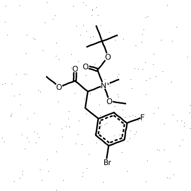 COC(=O)C(Cc1cc(F)cc(Br)c1)[N+](C)(OC)C(=O)OC(C)(C)C